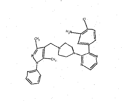 Cc1nn(-c2ccccc2)c(C)c1CN1CCN(c2nccnc2-c2ccc(Cl)c(N)c2)CC1